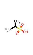 CC([SiH3])S(=O)(=O)O